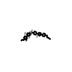 CCCCCC1CCC(c2ccc(C3CCC(C(F)(F)Oc4cc(F)c(-c5ccc(CCC)c(F)c5)c(F)c4)CC3)c(F)c2)CC1